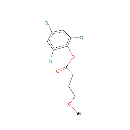 CC(C)OCCCC(=O)Oc1c(Cl)cc(Cl)cc1Cl